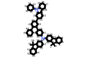 CC1(C)c2ccccc2-c2ccc(N(c3ccc(-c4cc(-c5ccc6c7ccccc7n(-c7ccccc7)c6c5)ccc4-c4ccccc4)cc3)c3ccc4c(c3)C(C)(C)c3ccccc3-4)cc21